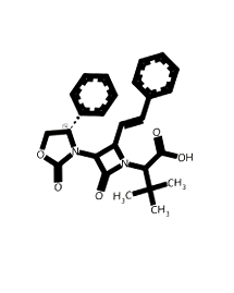 CC(C)(C)C(C(=O)O)N1C(=O)C(N2C(=O)OC[C@@H]2c2ccccc2)C1C=Cc1ccccc1